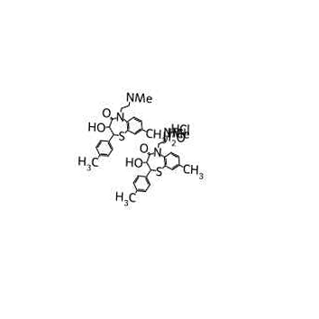 CNCCN1C(=O)C(O)C(c2ccc(C)cc2)Sc2cc(C)ccc21.CNCCN1C(=O)C(O)C(c2ccc(C)cc2)Sc2cc(C)ccc21.Cl.Cl.O